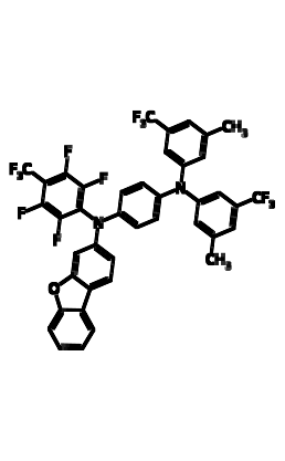 Cc1cc(N(c2ccc(N(c3ccc4c(c3)oc3ccccc34)c3c(F)c(F)c(C(F)(F)F)c(F)c3F)cc2)c2cc(C)cc(C(F)(F)F)c2)cc(C(F)(F)F)c1